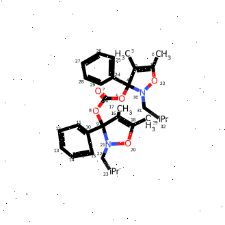 CC1=C(C)C(OC(=O)OC2(c3ccccc3)C(C)=C(C)ON2CC(C)C)(c2ccccc2)N(CC(C)C)O1